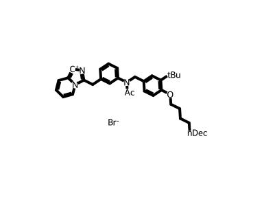 CCCCCCCCCCCCCCOc1ccc(CN(C(C)=O)c2cccc(CC3=N[C+]=C4C=CC=CN43)c2)cc1C(C)(C)C.[Br-]